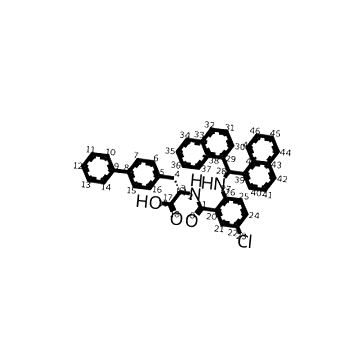 O=C(N[C@@H](Cc1ccc(-c2ccccc2)cc1)C(=O)O)c1cc(Cl)ccc1NC(c1cccc2ccccc12)c1cccc2ccccc12